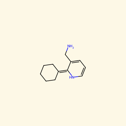 NCC1=CC=CNC1=C1CCCCC1